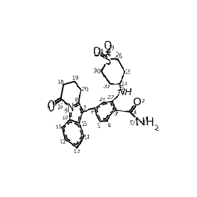 NC(=O)c1ccc(-c2c3n(c4ccccc24)C(=O)CCC3)cc1NC1CCS(=O)(=O)CC1